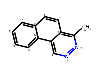 Cc1nncc2c1ccc1ccccc12